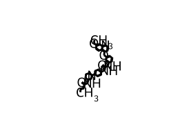 C/C=C/C(=O)NC1CCCN(c2ccc(NC(=O)Nc3cccc(Oc4ccnc5cc(OC)ccc45)c3)cc2)C1